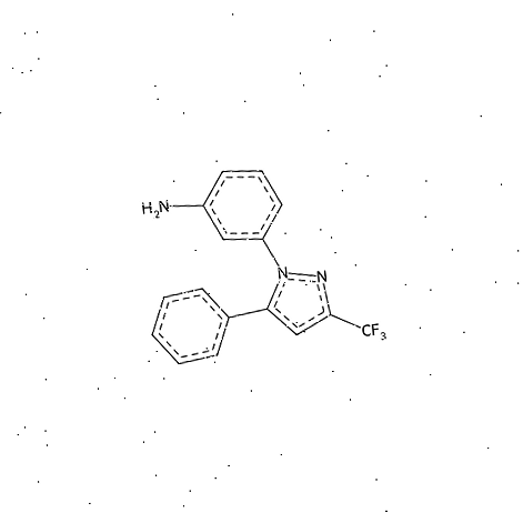 Nc1cccc(-n2nc(C(F)(F)F)cc2-c2ccccc2)c1